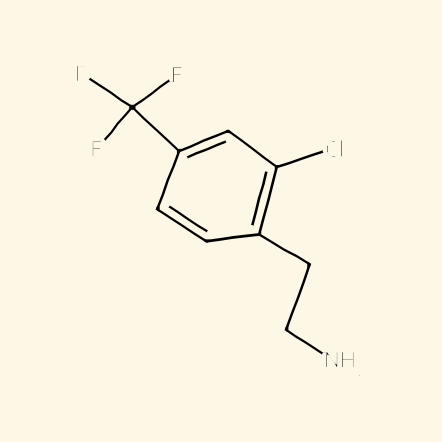 NCCc1ccc(C(F)(F)F)cc1Cl